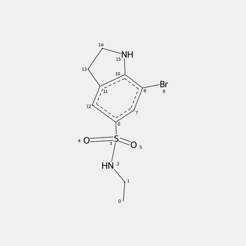 CCNS(=O)(=O)c1cc(Br)c2c(c1)CCN2